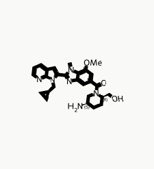 COc1cc(C(=O)N2C[C@@H](N)CC[C@@H]2CO)cc2nc(-c3cc4cccnc4n3CC3CC3)n(C)c12